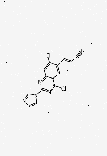 N#CC=Cc1cc2c(Cl)nc(-n3ccnc3)nc2cc1Cl